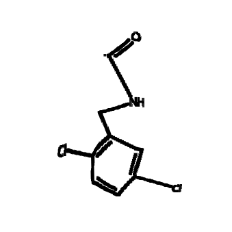 O=[C]NCc1cc(Cl)ccc1Cl